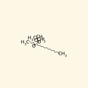 CCCCCCCCCCCCCCC(C(=O)CCCC)C(=O)OC(C)(C)C